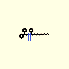 CCCCCCCCCCCC(NCCC(c1ccccc1)c1ccccc1)c1ccccc1